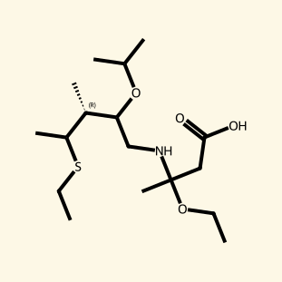 CCOC(C)(CC(=O)O)NCC(OC(C)C)[C@@H](C)C(C)SCC